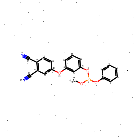 COP(Oc1ccccc1)Oc1cccc(Oc2ccc(C#N)c(C#N)c2)c1